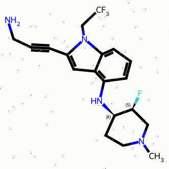 CN1CC[C@@H](Nc2cccc3c2cc(C#CCN)n3CC(F)(F)F)[C@@H](F)C1